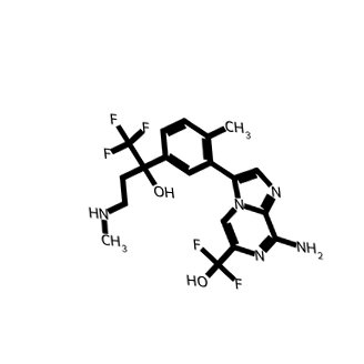 CNCCC(O)(c1ccc(C)c(-c2cnc3c(N)nc(C(O)(F)F)cn23)c1)C(F)(F)F